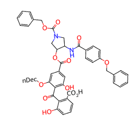 CCCCCCCCCCOc1cc(C(=O)OC2CN(C(=O)OCc3ccccc3)CC2NC(=O)c2ccc(OCc3ccccc3)cc2)cc(O)c1C(=O)c1c(O)cccc1C(=O)O